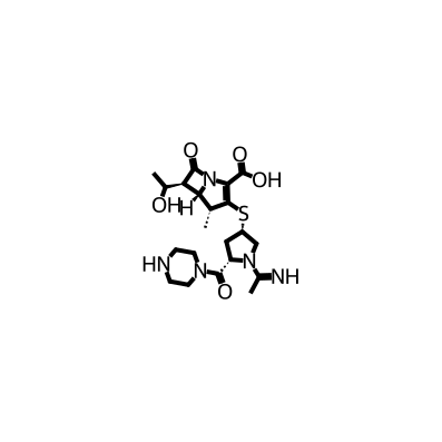 CC(=N)N1C[C@@H](SC2=C(C(=O)O)N3C(=O)[C@H](C(C)O)[C@H]3[C@H]2C)C[C@H]1C(=O)N1CCNCC1